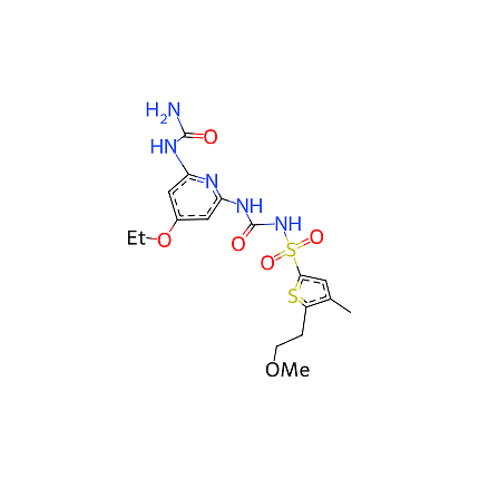 CCOc1cc(NC(N)=O)nc(NC(=O)NS(=O)(=O)c2cc(C)c(CCOC)s2)c1